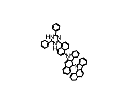 C1=CCCC(C2NC(C3=C4C=CC=C(N5C6=Cc7ccccc7C(n7c8ccccc8c8ccc9c(c87)C=CCC9)C6c6ccccc65)C4CC=C3)=NC(c3ccccc3)N2)=C1